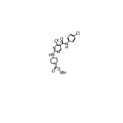 CC(C)(C)OC(=O)N1CCC(Nc2ncc(C(=O)Nc3ccc(Cl)cc3)c(C(F)(F)F)n2)CC1